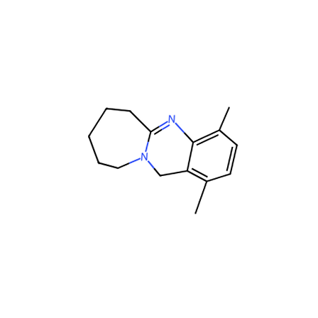 Cc1ccc(C)c2c1CN1CCCCCC1=N2